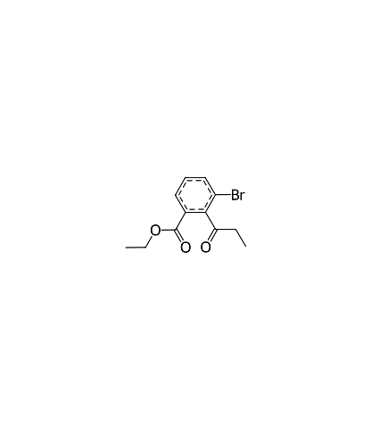 CCOC(=O)c1cccc(Br)c1C(=O)CC